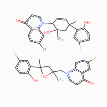 CC(C)(CC(O)(Cn1ccc(=O)c2cc(F)ccc21)C(F)(F)F)c1cc(F)ccc1O.CC1(c2cc(F)ccc2O)C=CC(n2ccc(=O)c3ccc(Cl)cc32)C(O)(C(F)(F)F)C1